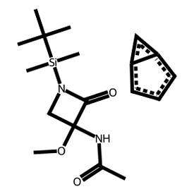 COC1(NC(C)=O)CN([Si](C)(C)C(C)(C)C)C1=O.c1cc2cc-2c1